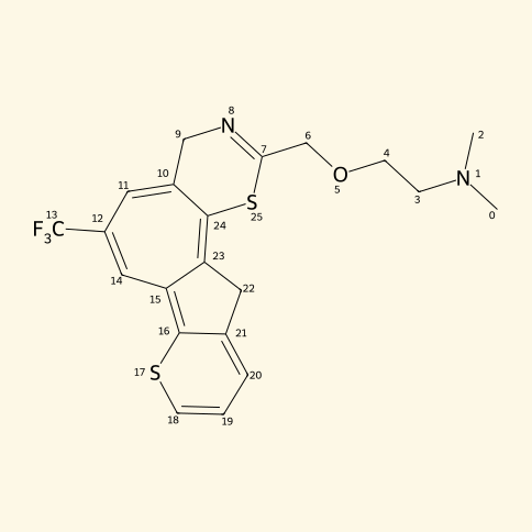 CN(C)CCOCC1=NCC2=CC(C(F)(F)F)=CC3=C4SC=CC=C4CC3=C2S1